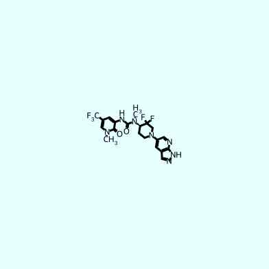 CN(C(=O)Nc1cc(C(F)(F)F)cn(C)c1=O)[C@@H]1CCN(c2cnc3[nH]ncc3c2)CC1(F)F